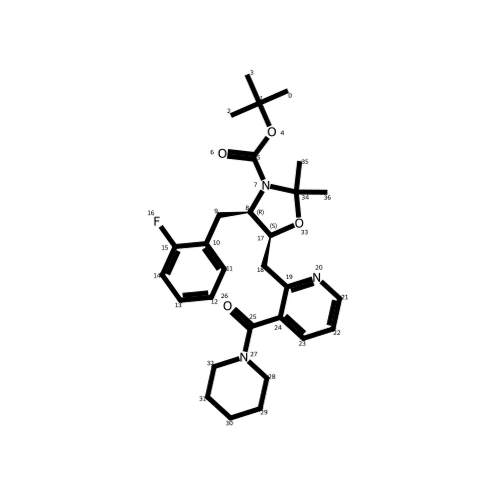 CC(C)(C)OC(=O)N1[C@H](Cc2ccccc2F)[C@H](Cc2ncccc2C(=O)N2CCCCC2)OC1(C)C